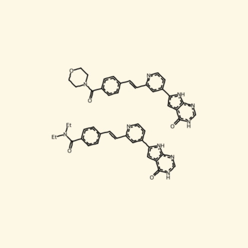 CCN(CC)C(=O)c1ccc(/C=C/c2cc(-c3cc4c(=O)[nH]cnc4[nH]3)ccn2)cc1.O=C(c1ccc(/C=C/c2cc(-c3cc4c(=O)[nH]cnc4[nH]3)ccn2)cc1)N1CCOCC1